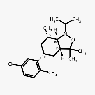 Cc1ccc(Cl)cc1[C@H]1C[C@@H]2[C@@H]([C@@H](C)C1)N(C(C)C)OC2(C)C